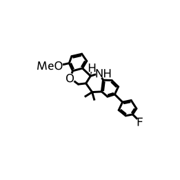 COc1cccc2c1OCC1[C@@H]2Nc2ccc(-c3ccc(F)cc3)cc2C1(C)C